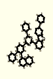 c1ccc(-c2ccc3c(c2)oc2cccc(-c4nc(-c5ccccc5)nc(-c5ccc(-c6ccccc6)c(-c6cccc7ccccc67)c5)n4)c23)cc1